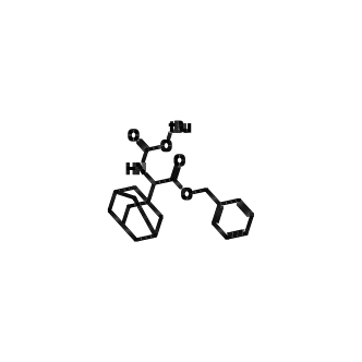 CC(C)(C)OC(=O)NC(C(=O)OCc1ccccc1)C12CC3CC(CC(C3)C1)C2